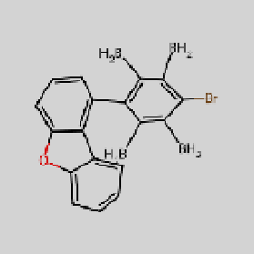 Bc1c(B)c(-c2cccc3oc4ccccc4c23)c(B)c(B)c1Br